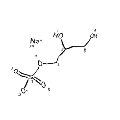 O=S(=O)([O-])OCC(O)CO.[Na+]